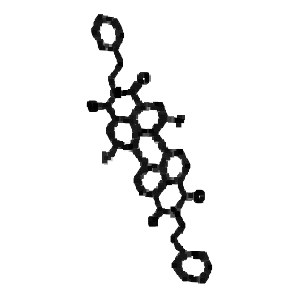 O=C1c2ccc3c4c(F)cc5c6c(cc(F)c(c7ccc(c2c37)C(=O)N1CCc1ccccc1)c64)C(=O)N(CCc1ccccc1)C5=O